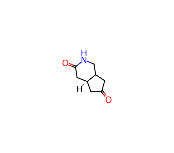 O=C1CC2CNC(=O)C[C@@H]2C1